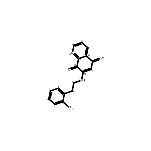 Cc1ccccc1CCNC1=CC(=O)c2cccnc2C1=O